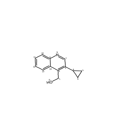 OCc1c(C2CC2)cnc2ccccc12